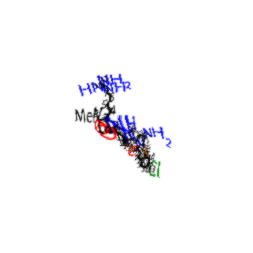 CNC(=O)C(CCCCNC(=N)N)NC(=O)C1=CSC([C@@H]2C[C@@H](N)CN2C(=O)c2cc3ccc(Cl)cc3s2)N1C